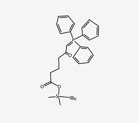 CC(C)(C)[Si](C)(C)OC(=O)CCCC(=O)C=P(c1ccccc1)(c1ccccc1)c1ccccc1